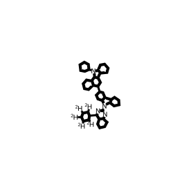 [2H]c1c([2H])c([2H])c(-c2nc(-n3c4ccccc4c4cc(-c5cc6c7ccccc7n(-c7ccccc7)c6c6ccccc56)ccc43)nc3ccccc23)c([2H])c1[2H]